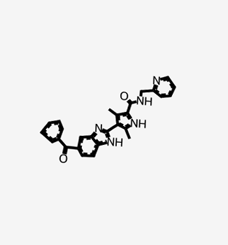 Cc1[nH]c(C(=O)NCc2ccccn2)c(C)c1-c1nc2cc(C(=O)c3ccccc3)ccc2[nH]1